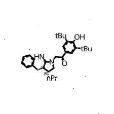 CCC[C@H]1CN(CC(=O)c2cc(C(C)(C)C)c(O)c(C(C)(C)C)c2)C(=N)[C@@H]1Cc1ccccc1